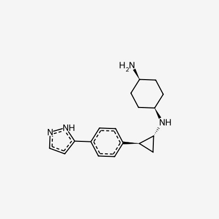 N[C@H]1CC[C@@H](N[C@@H]2C[C@H]2c2ccc(-c3ccn[nH]3)cc2)CC1